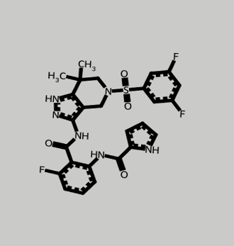 CC1(C)CN(S(=O)(=O)c2cc(F)cc(F)c2)Cc2c(NC(=O)c3c(F)cccc3NC(=O)c3ccc[nH]3)n[nH]c21